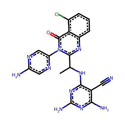 CC(Nc1nc(N)nc(N)c1C#N)c1nc2cccc(Cl)c2c(=O)n1-c1cnc(N)cn1